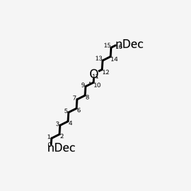 CCCCCCCCCCCCCCCCCCC[CH]OCCCCCCCCCCCCCC